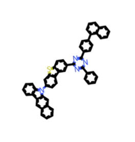 c1ccc(-c2nc(-c3ccc(-c4cccc5ccccc45)cc3)nc(-c3ccc4sc5cc(-n6c7ccccc7c7cc8ccccc8cc76)ccc5c4c3)n2)cc1